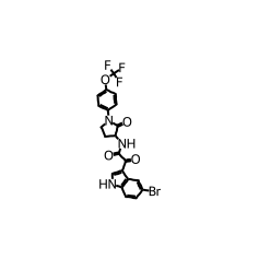 O=C(NC1CCN(c2ccc(OC(F)(F)F)cc2)C1=O)C(=O)c1c[nH]c2ccc(Br)cc12